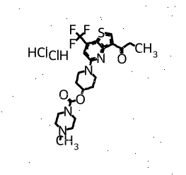 CCC(=O)c1csc2c(C(F)(F)F)cc(N3CCC(OC(=O)N4CCN(C)CC4)CC3)nc12.Cl.Cl